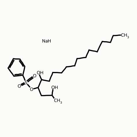 CCCCCCCCCCCCCC(O)C(CC(C)O)OS(=O)(=O)c1ccccc1.[NaH]